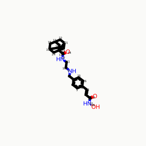 O=C(/C=C/c1ccc(CNCCNC(=O)C23CC4CC(CC(C4)C2)C3)cc1)NO